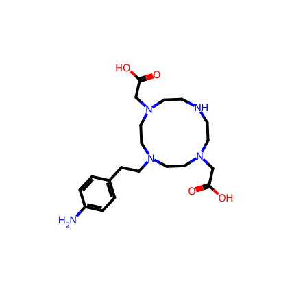 Nc1ccc(CCN2CCN(CC(=O)O)CCNCCN(CC(=O)O)CC2)cc1